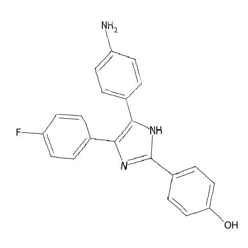 Nc1ccc(-c2[nH]c(-c3ccc(O)cc3)nc2-c2ccc(F)cc2)cc1